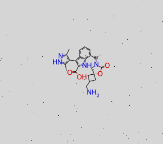 Cc1n[nH]c(C)c1-c1c(C(=O)O)[nH]c2c([C@H](C)N3CC4(CC(CN)C4)OC3=O)cccc12